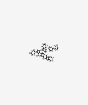 c1ccc(-c2ccc(-c3nc(-n4c5cc6c(cc5c5ccc7c(ccn7-c7ccccc7)c54)sc4ccccc46)nc4ccccc34)cc2)cc1